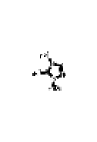 CCCCN1N=CN(CCC)C1CCC